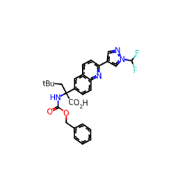 CC(C)(C)CC(NC(=O)OCc1ccccc1)(C(=O)O)c1ccc2nc(-c3cnn(C(F)F)c3)ccc2c1